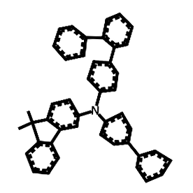 CC1(C)c2ccccc2-c2cc(N(c3ccc(-c4ccccc4)cc3)c3ccc(-c4ccccc4-c4ccccc4)cc3)ccc21